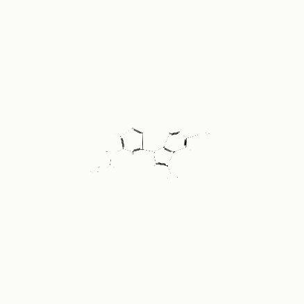 CCOC(=O)c1ccc(-n2cc(C#N)c3cc(OC)ccc32)cc1OCOC